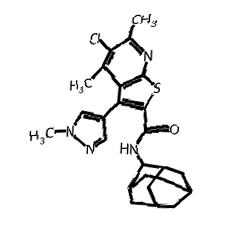 Cc1nc2sc(C(=O)NC3C4CC5CC(C4)CC3C5)c(-c3cnn(C)c3)c2c(C)c1Cl